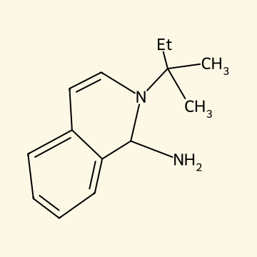 CCC(C)(C)N1C=Cc2ccccc2C1N